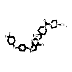 CN1CCN(C(=O)N2CCC(O)(Cn3cnc4c(cnn4-c4ccc(OC5CCC(F)(F)CC5)cc4)c3=O)CC2)CC1